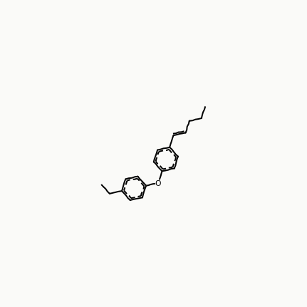 CCCC=Cc1ccc(Oc2ccc(CC)cc2)cc1